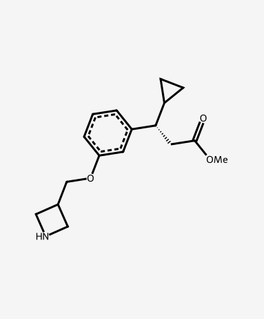 COC(=O)C[C@H](c1cccc(OCC2CNC2)c1)C1CC1